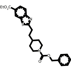 CCOC(=O)c1ccc2nc(CCC3CCN(C(=O)OCc4ccccc4)CC3)sc2c1